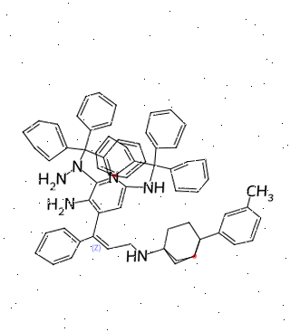 Cc1cccc(C23CCC(NC/C=C(/c4ccccc4)c4cc(NC(c5ccccc5)(c5ccccc5)c5ccccc5)nc(N(N)C(c5ccccc5)(c5ccccc5)c5ccccc5)c4N)(CC2)CC3)c1